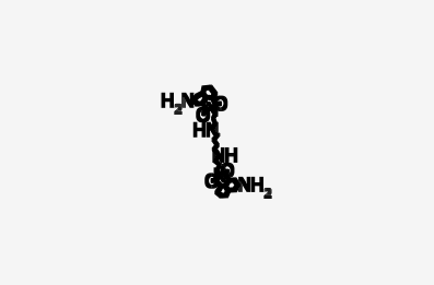 Nc1cc2c3c(cccc3c1)C(=O)N(CCCNCCCCNCCCN1C(=O)c3cccc4cc(N)cc(c34)C1=O)C2=O